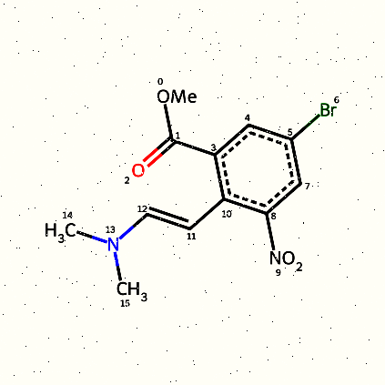 COC(=O)c1cc(Br)cc([N+](=O)[O-])c1/C=C/N(C)C